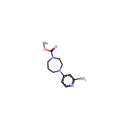 CC(C)(C)OC(=O)N1CCCN(c2ccnc([N+](=O)[O-])c2)CC1